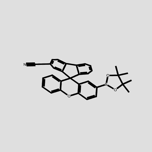 CC1(C)OB(c2ccc3c(c2)C2(c4ccccc4O3)c3ccccc3-c3ccc(C#N)cc32)OC1(C)C